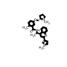 Cc1ccc(OC[C@@H]2CCCN2C)cc1C(=O)N[C@H](C)c1cc(-c2ccn(C)n2)nc2ccccc12